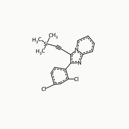 C[Si](C)(C)C#Cc1c(-c2ccc(Cl)cc2Cl)nc2ccccn12